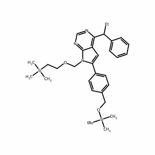 CCC(c1ccccc1)c1ncnc2c1cc(-c1ccc(CO[Si](C)(C)C(C)(C)C)cc1)n2COCC[Si](C)(C)C